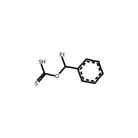 CCC(OC(=S)S)c1ccccc1